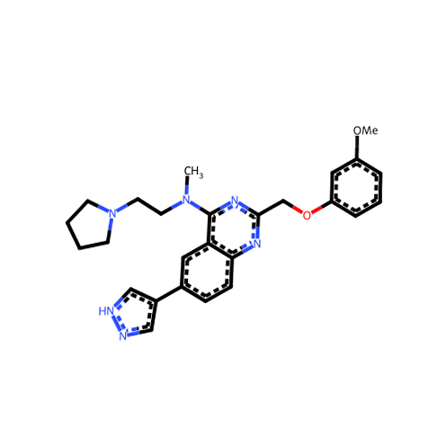 COc1cccc(OCc2nc(N(C)CCN3CCCC3)c3cc(-c4cn[nH]c4)ccc3n2)c1